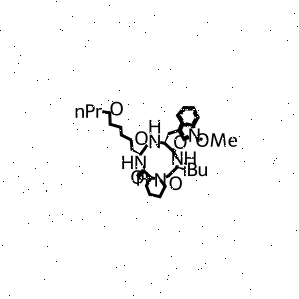 CCCC(=O)CCCCC[C@@H]1NC(=O)[C@H]2CCCCN2C(=O)[C@H](C(C)CC)NC(=O)[C@H](Cc2cn(OC)c3ccccc23)NC1=O